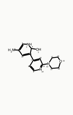 NC1=CNC(O)C(c2ccnc(N3CCOCC3)c2)=C1